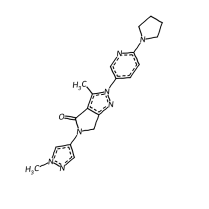 Cc1c2c(nn1-c1ccc(N3CCCC3)nc1)CN(c1cnn(C)c1)C2=O